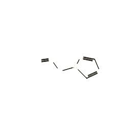 C=NOn1cncn1